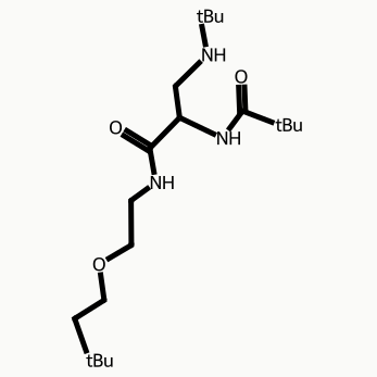 CC(C)(C)CCOCCNC(=O)C(CNC(C)(C)C)NC(=O)C(C)(C)C